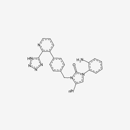 CCCc1cn(-c2ccccc2N)c(=O)n1Cc1ccc(-c2cccnc2-c2nnn[nH]2)cc1